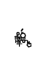 C=C[C@@H]1CC[C@H](CCN2CCCC2)[C@@](NC(C)=O)(C(=O)NC(C)(C)C)C1